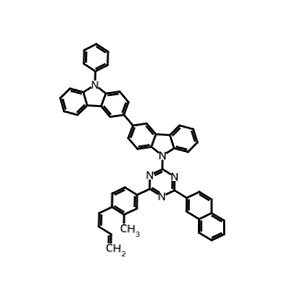 C=C/C=C\c1ccc(-c2nc(-c3ccc4ccccc4c3)nc(-n3c4ccccc4c4cc(-c5ccc6c(c5)c5ccccc5n6-c5ccccc5)ccc43)n2)cc1C